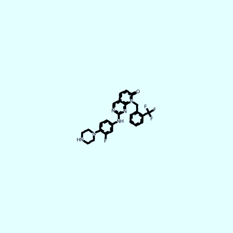 O=c1ccc2cnc(Nc3ccc(N4CCNCC4)c(F)c3)nc2n1Cc1ccccc1C(F)(F)F